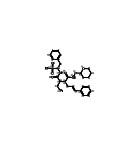 CCS(=O)(=O)N(Cc1ccccc1)NC(=O)[C@H](CC(C)C)[C@H](CC=Cc1ccccc1)C(=O)NOC1CCCCO1